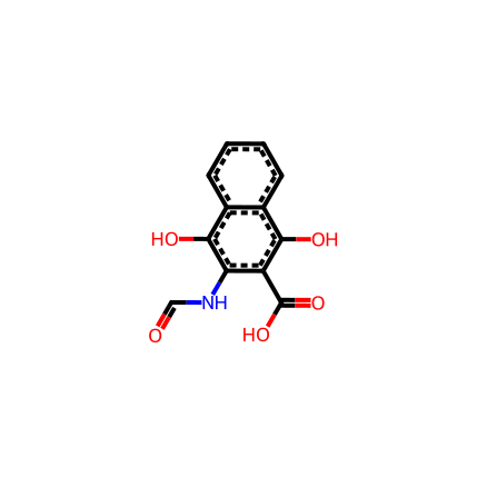 O=CNc1c(C(=O)O)c(O)c2ccccc2c1O